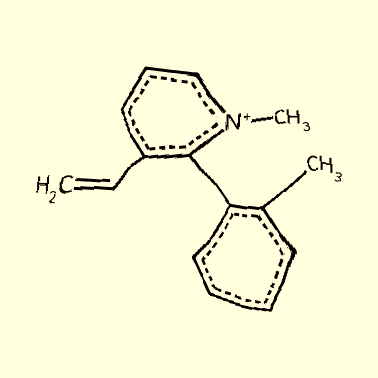 C=Cc1ccc[n+](C)c1-c1ccccc1C